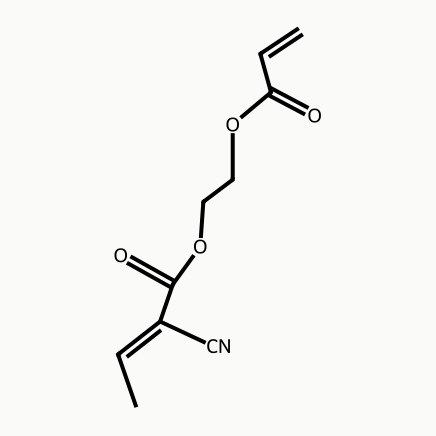 C=CC(=O)OCCOC(=O)/C(C#N)=C/C